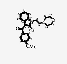 COc1ccc(C(=O)c2c(Cl)n(CCN3CCOCC3)c3ccccc23)cc1